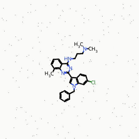 Cc1cccc2c(NCCCN(C)C)nc(-c3cn(Cc4ccccc4)c4cc(Cl)ccc34)nc12